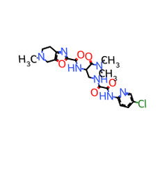 CN1CCc2nc(C(=O)NC(CNC(=O)C(=O)Nc3ccc(Cl)cn3)C(=O)N(C)C)oc2C1